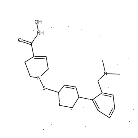 CN(C)Cc1ccccc1C1C=CC(SN2CC=C(C(=O)NO)CC2)CC1